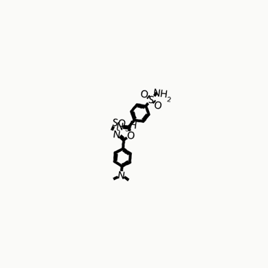 CN(C)c1ccc(-c2nnc(-c3ccc(S(N)(=O)=O)cc3)o2)cc1.CS(=O)(=O)O